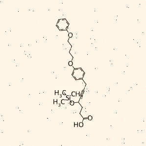 C[Si](C)(C)OC(C#CCc1ccc(OCCCCOc2ccccc2)cc1)CCC(=O)O